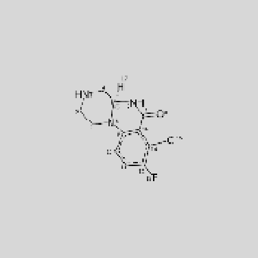 O=C1N[C@@H]2CNCCN2c2ccc(F)c(Cl)c21